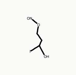 O=NOCCC(O)I